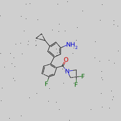 Nc1cc(-c2ccc(F)cc2C(=O)N2CC(F)(F)C2)cc(C2CC2)c1